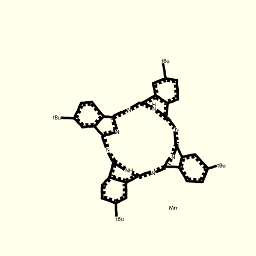 CC(C)(C)c1ccc2c(c1)-c1nc-2nc2[nH]c(nc3nc(nc4[nH]c(n1)c1ccc(C(C)(C)C)cc41)-c1ccc(C(C)(C)C)cc1-3)c1ccc(C(C)(C)C)cc21.[Mn]